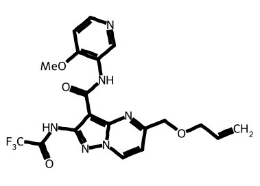 C=CCOCc1ccn2nc(NC(=O)C(F)(F)F)c(C(=O)Nc3cnccc3OC)c2n1